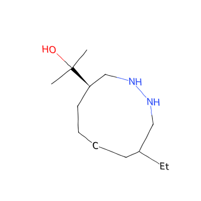 CCC1CCCC[C@@H](C(C)(C)O)CNNC1